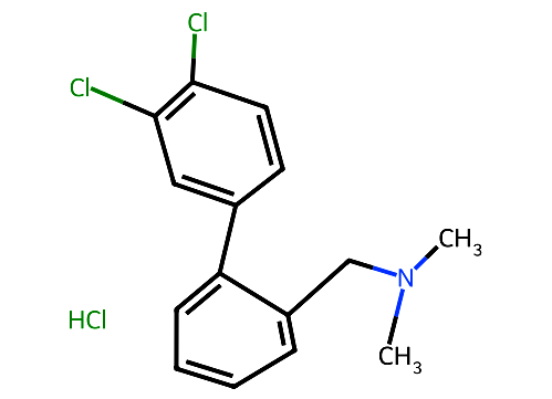 CN(C)Cc1ccccc1-c1ccc(Cl)c(Cl)c1.Cl